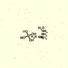 N.N.N.N.N.O.O[Si](O)(O)O